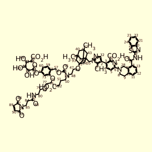 Cc1c(-c2ccc(N3CCc4cccc(C(=O)Nc5nc6ccccc6s5)c4C3)nc2C(=O)O)cnn1CC12CC3(C)CC(C)(C1)CC(OCCN(CCCC(=O)O)C(=O)OCc1ccc(O[C@@H]4O[C@H](C(=O)O)[C@@H](O)[C@H](O)[C@H]4O)cc1OCCOCCNC(=O)CCN1C(=O)C=CC1=O)(C3)C2